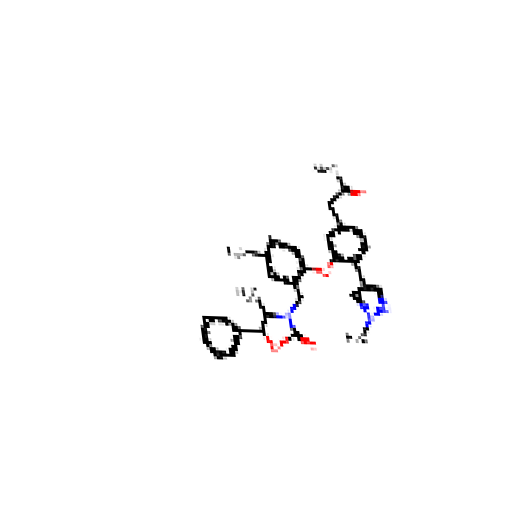 COC(=O)Cc1ccc(-c2cnn(C)c2)c(Oc2ccc(C(F)(F)F)cc2CN2C(=O)OC(c3ccccc3)C2C)c1